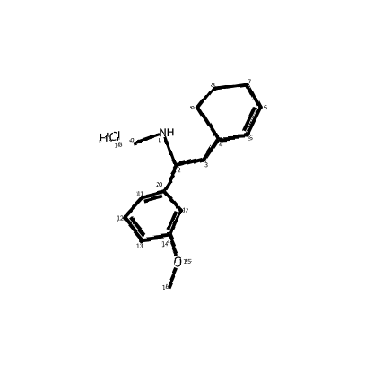 CNC(CC1C=CCCC1)c1cccc(OC)c1.Cl